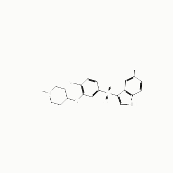 CN1CCC(Nc2cc(S(=O)(=O)c3c[nH]c4ccc(F)cc34)ccc2Br)CC1